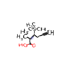 C#CC/C(=C(/C)C(=O)O)[Si](C)(C)C